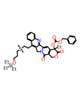 CCC1(OC(=O)OCc2ccccc2)C(=O)OCc2c1cc1n(c2=O)Cc2c-1nc1ccccc1c2CC[Si](C)(C)CCCO[Si](CC)(CC)CC